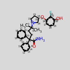 CC(C)(CCC(C(N)=O)(c1ccccc1)c1ccccc1)N1CC[C@H](Oc2cccc(O)c2F)C1